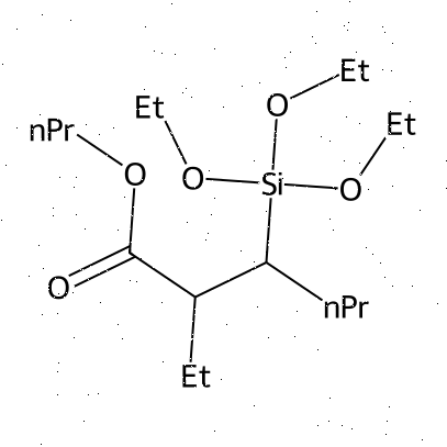 CCCOC(=O)C(CC)C(CCC)[Si](OCC)(OCC)OCC